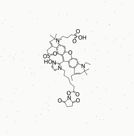 CCC1=CC(C)(C)N(CC)c2cc3c(cc21)C(c1nccn1CCCCCC(=O)ON1C(=O)CCC1=O)=c1cc2c(cc1O3)=[N+](CCCS(=O)(=O)O)C(C)(C)C=C2CS(=O)(=O)O